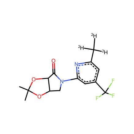 [2H]C([2H])([2H])c1cc(C(F)(F)F)cc(N2CC3OC(C)(C)OC3C2=O)n1